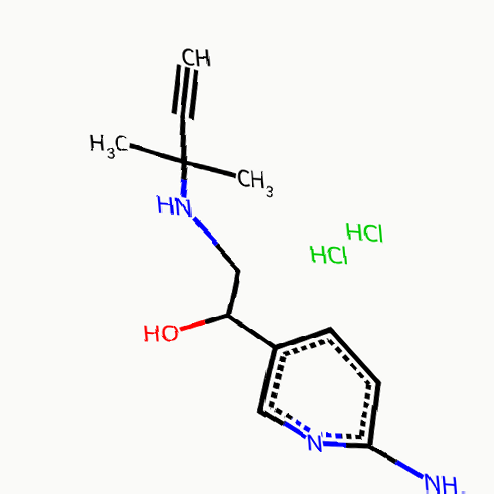 C#CC(C)(C)NCC(O)c1ccc(N)nc1.Cl.Cl